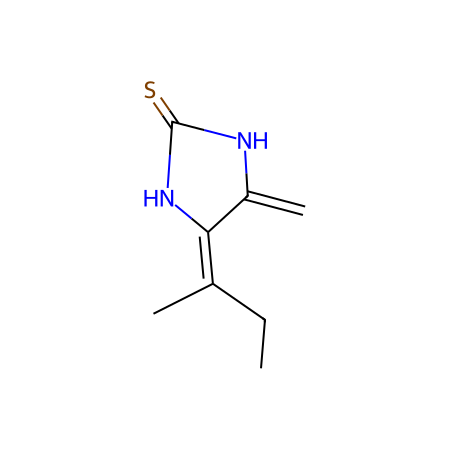 C=c1[nH]c(=S)[nH]/c1=C(\C)CC